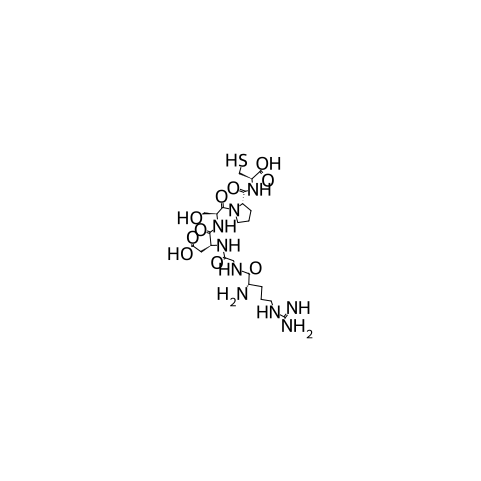 N=C(N)NCCC[C@H](N)C(=O)NCC(=O)N[C@@H](CC(=O)O)C(=O)N[C@@H](CO)C(=O)N1CCC[C@H]1C(=O)N[C@@H](CS)C(=O)O